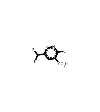 O=C(O)c1cc(C(F)F)nnc1Cl